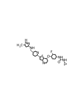 Cc1cc(NCc2ccc(-c3cc4nccc(Oc5ccc(NC(=O)NC6CC6)cc5F)c4s3)nc2)n[nH]1